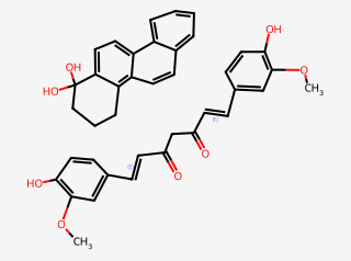 COc1cc(/C=C/C(=O)CC(=O)/C=C/c2ccc(O)c(OC)c2)ccc1O.OC1(O)CCCc2c1ccc1c2ccc2ccccc21